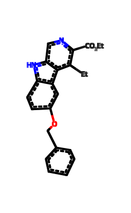 CCOC(=O)c1ncc2[nH]c3ccc(OCc4ccccc4)cc3c2c1CC